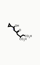 O=C(O)CC(CC(=O)/C=C(\O)C1CC1)C(=O)O